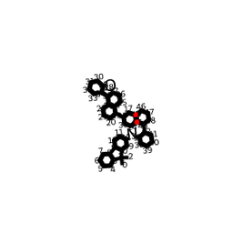 CC1(C)c2ccccc2-c2ccc(N(c3cccc(-c4cccc5c4ccc4oc6ccccc6c45)c3)c3ccccc3-c3ccccc3)cc21